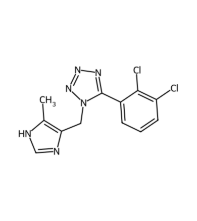 Cc1[nH]cnc1Cn1nnnc1-c1cccc(Cl)c1Cl